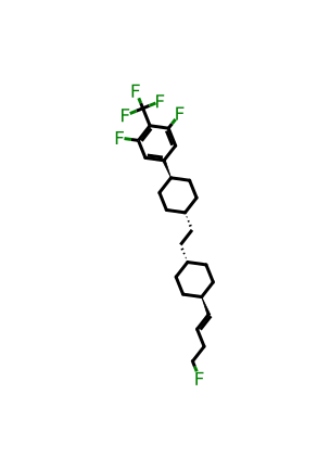 FCCC=C[C@H]1CC[C@H](CC[C@H]2CC[C@H](c3cc(F)c(C(F)(F)F)c(F)c3)CC2)CC1